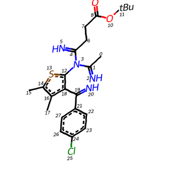 CC(=N)N(C(=N)CCC(=O)OC(C)(C)C)c1sc(C)c(C)c1C(=N)c1ccc(Cl)cc1